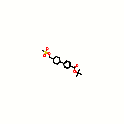 CC(C)(C)OC(=O)c1ccc(C2CCC(COS(C)(=O)=O)CC2)cc1